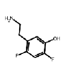 NCCc1cc(O)c(F)cc1F